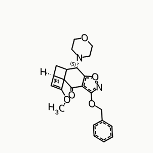 COC1=C[C@H]2CC3[C@H](N4CCOCC4)c4onc(OCc5ccccc5)c4C(=O)C132